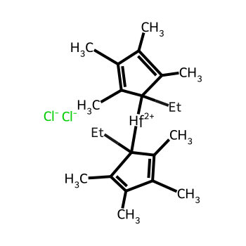 CC[C]1([Hf+2][C]2(CC)C(C)=C(C)C(C)=C2C)C(C)=C(C)C(C)=C1C.[Cl-].[Cl-]